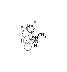 Cn1nc2c(c1-c1cc(F)cc(F)c1)C[C@H]1CCC[C@@H]2N1C(=O)c1nccc2ncccc12